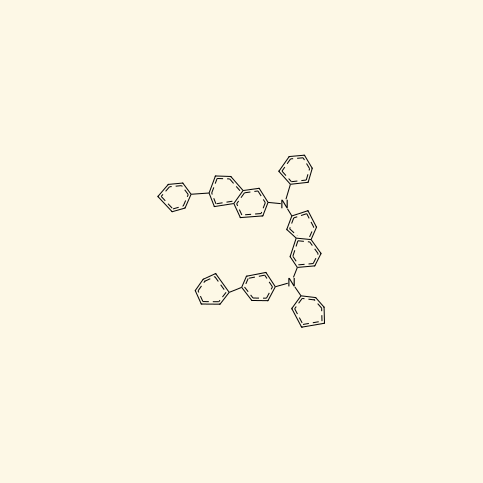 c1ccc(-c2ccc(N(c3ccccc3)c3ccc4ccc(N(c5ccccc5)c5ccc6cc(-c7ccccc7)ccc6c5)cc4c3)cc2)cc1